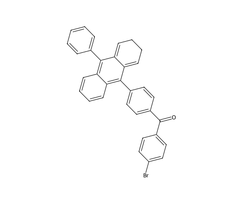 O=C(c1ccc(Br)cc1)c1ccc(-c2c3c(c(-c4ccccc4)c4ccccc24)=CCCC=3)cc1